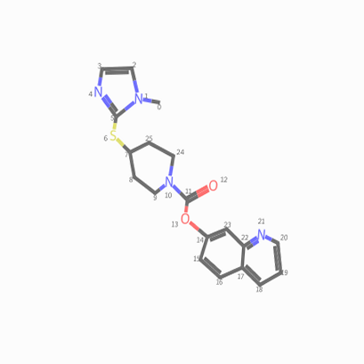 Cn1ccnc1SC1CCN(C(=O)Oc2ccc3cccnc3c2)CC1